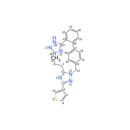 CCCc1nc(-c2ccsc2)nn1Cc1ccc(-c2ccccc2-c2nnn[nH]2)cc1